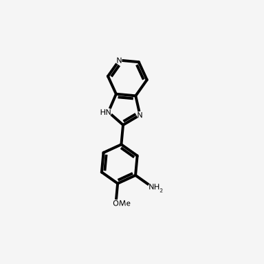 COc1ccc(-c2nc3ccncc3[nH]2)cc1N